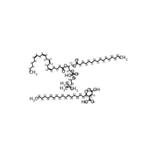 CCCCC/C=C\C/C=C\C/C=C\C/C=C\CCCC(=O)O[C@H](COC(=O)CCCCCCCCCCCCCCC)COP(=O)(O)OCC[N+](C)(C)C.CCCCCCCCCCCCCCCCCC(=O)/C(=C\C(=O)O)C(=O)O